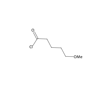 COCCCCC(=O)Cl